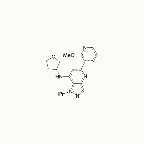 COc1ncccc1-c1cc(N[C@@H]2CCOC2)c2c(cnn2C(C)C)n1